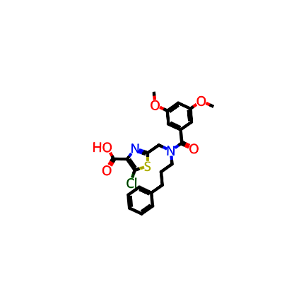 COc1cc(OC)cc(C(=O)N(CCCc2ccccc2)Cc2nc(C(=O)O)c(Cl)s2)c1